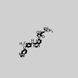 Cc1cc(Nc2ncnc3ccc(N4CC(C)C(=CCN(C)C)C4=O)nc23)ccc1Oc1ccn2ncnc2c1